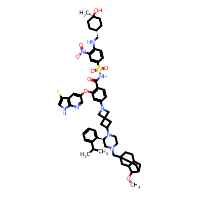 COC1C2CC3CCC(CN4CCN(C5CC6(C5)CN(c5ccc(C(=O)NS(=O)(=O)c7ccc(NC[C@H]8CC[C@](C)(O)CC8)c([N+](=O)[O-])c7)c(Oc7cnc8[nH]cc(F)c8c7)c5)C6)[C@H](c5ccccc5C(C)C)C4)(C2)CC31